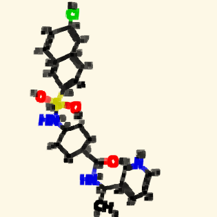 CC(NC(=O)C1CCC(NS(=O)(=O)c2ccc3cc(Cl)ccc3c2)CC1)c1cccnc1